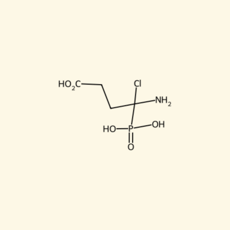 NC(Cl)(CCC(=O)O)P(=O)(O)O